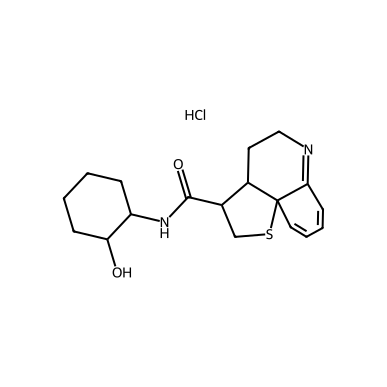 Cl.O=C(NC1CCCCC1O)C1CSC23C=CC=CC2=NCCC13